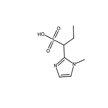 CCC(c1nccn1C)S(=O)(=O)O